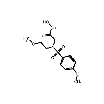 COCCN(CC(=O)NO)S(=O)(=O)c1ccc(OC)cc1